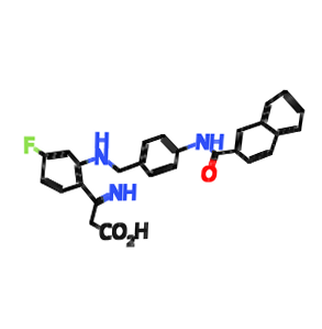 N=C(CC(=O)O)c1ccc(F)cc1NCc1ccc(NC(=O)c2ccc3ccccc3c2)cc1